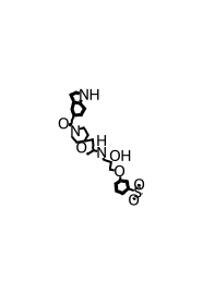 CS(=O)(=O)c1cccc(OCC(O)CNC2COC3(CCN(C(=O)c4ccc5[nH]ccc5c4)CC3)C2)c1